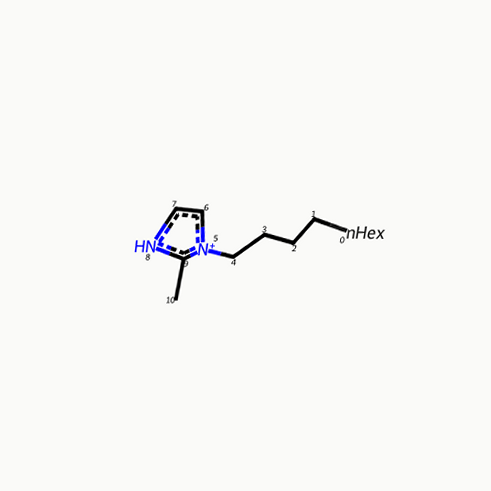 CCCCCCCCCC[n+]1cc[nH]c1C